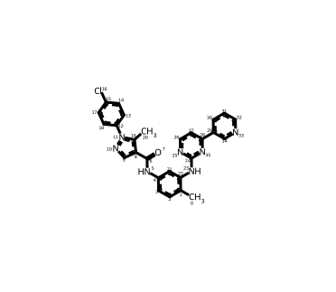 Cc1ccc(NC(=O)c2cnn(-c3ccc(Cl)cc3)c2C)cc1Nc1nccc(-c2cccnc2)n1